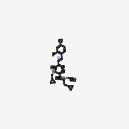 O=C(/C=C/c1ccc(Cl)cc1F)N[C@@H](CC1CC1)C(=O)N[C@H](CO)CC1CC1